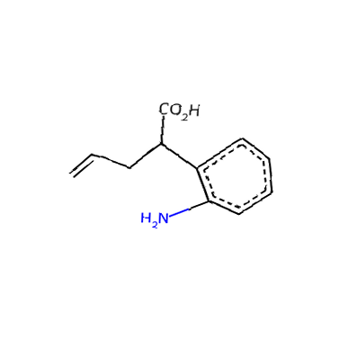 C=CCC(C(=O)O)c1ccccc1N